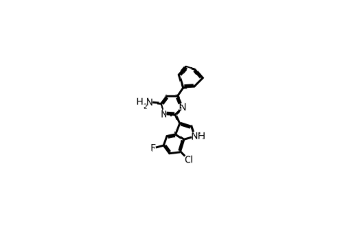 Nc1cc(-c2ccccc2)nc(-c2c[nH]c3c(Cl)cc(F)cc23)n1